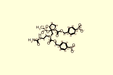 CS(=O)(=O)OC1(CN(CCNC(N)=O)C(=O)OCc2ccc([N+](=O)[O-])cc2)CCCN1C(=O)OCc1ccc([N+](=O)[O-])cc1